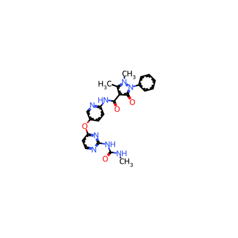 CNC(=O)Nc1nccc(Oc2ccc(NC(=O)c3c(C)n(C)n(-c4ccccc4)c3=O)nc2)n1